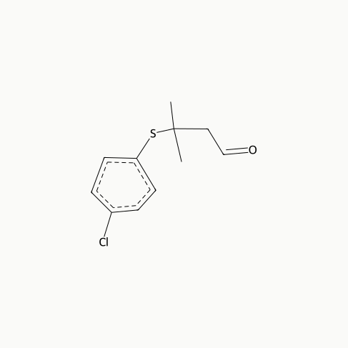 CC(C)(CC=O)Sc1ccc(Cl)cc1